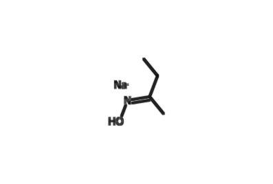 CCC(C)=NO.[Na]